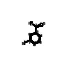 O=C(F)c1cccc(I)c1